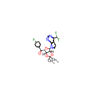 CC1(C)O[C@@H]2[C@H](O1)[C@@H](C(=O)c1ccc(F)cc1)O[C@H]2n1ccc2c(C(F)F)ncnc21